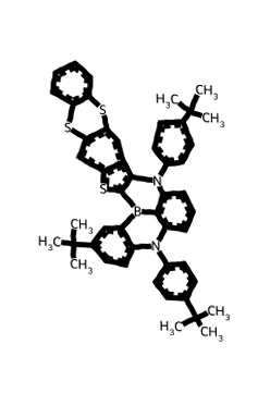 CC(C)(C)c1ccc(N2c3ccc(C(C)(C)C)cc3B3c4sc5cc6c(cc5c4N(c4ccc(C(C)(C)C)cc4)c4cccc2c43)Sc2ccccc2S6)cc1